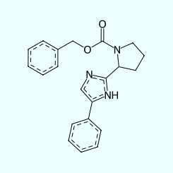 O=C(OCc1ccccc1)N1CCCC1c1ncc(-c2ccccc2)[nH]1